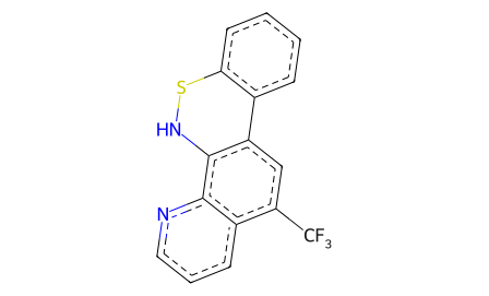 FC(F)(F)c1cc2c(c3ncccc13)NSc1ccccc1-2